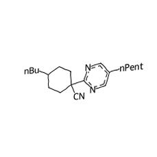 CCCCCc1cnc(C2(C#N)CCC(CCCC)CC2)nc1